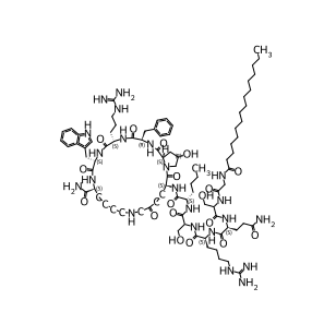 CCCCCCCCCCCCCCCC(=O)NCC(=O)NC(CO)C(=O)N[C@@H](CCC(N)=O)C(=O)N[C@@H](CCCCNC(=N)N)C(=O)NC(CO)C(=O)N[C@@H](CCCC)C(=O)N[C@H]1CCC(=O)CNCCCC[C@@H](C(N)=O)NC(=O)[C@H](Cc2c[nH]c3ccccc23)NC(=O)[C@H](CCCNC(=N)N)NC(=O)[C@@H](Cc2ccccc2)NC(=O)[C@@H]2C[C@@H](O)CN2C1=O